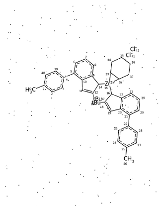 Cc1ccc(-c2cccc3c2C=C(C(C)(C)C)[CH]3[Zr+2]2([CH]3C(C(C)(C)C)=Cc4c(-c5ccc(C)cc5)cccc43)[CH]3CCCC[CH]32)cc1.[Cl-].[Cl-]